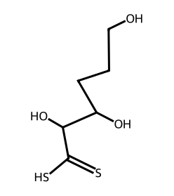 OCCCC(O)C(O)C(=S)S